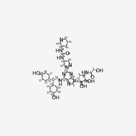 O=C(CO)N[C@H]1C[C@@H](n2cnc3c(NCC(c4ccc(O)cc4)c4ccc(O)cc4)nc(-n4cc(NC(=O)Nc5cccnc5)cn4)nc32)[C@H](O)[C@@H]1O